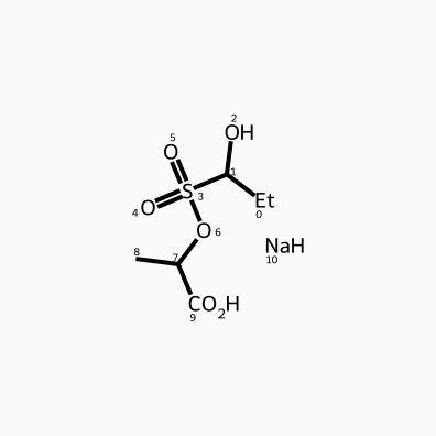 CCC(O)S(=O)(=O)OC(C)C(=O)O.[NaH]